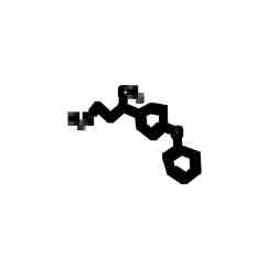 CC(CCN)c1ccc(Oc2ccccc2)cc1